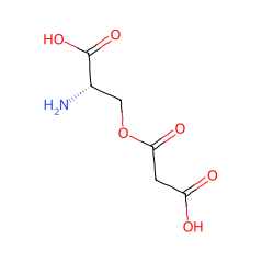 N[C@@H](COC(=O)CC(=O)O)C(=O)O